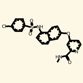 CNC(=O)c1cc(Oc2ccc3c(NS(=O)(=O)c4ccc(Cl)cc4)cccc3c2)ccn1